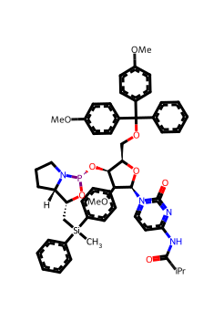 COc1ccc(C(OC[C@H]2O[C@@H](n3ccc(NC(=O)C(C)C)nc3=O)C(OC)[C@H]2O[P@]2O[C@H](C[Si](C)(c3ccccc3)c3ccccc3)[C@@H]3CCCN32)(c2ccccc2)c2ccc(OC)cc2)cc1